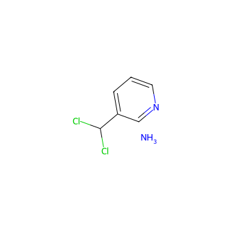 ClC(Cl)c1cccnc1.N